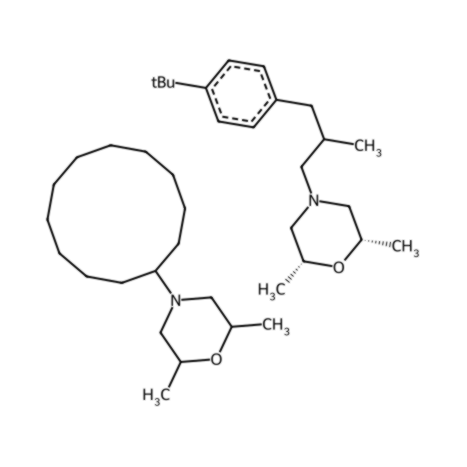 CC(Cc1ccc(C(C)(C)C)cc1)CN1C[C@@H](C)O[C@@H](C)C1.CC1CN(C2CCCCCCCCCCC2)CC(C)O1